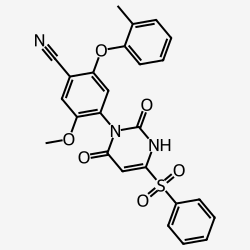 COc1cc(C#N)c(Oc2ccccc2C)cc1-n1c(=O)cc(S(=O)(=O)c2ccccc2)[nH]c1=O